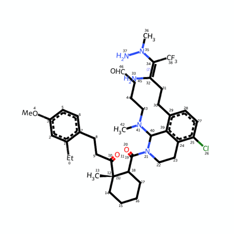 CCc1cc(OC)ccc1CCC(=O)[C@@]1(C)CCCCC1C(=O)N1CCc2c(Cl)ccc(CC/C(N)=C(/N(C)N)C(F)(F)F)c2C1N(C)CCCC=O